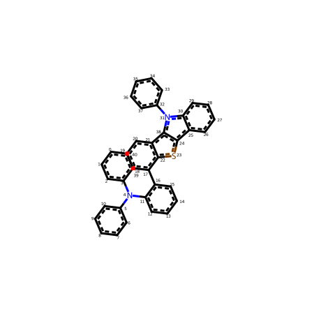 c1ccc(N(c2ccccc2)c2ccccc2-c2cccc3c2sc2c4ccccc4n(-c4ccccc4)c32)cc1